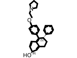 O[C@@H]1C=CC2=C(c3ccc(OCCN4CCCC4)cc3)[C@H](c3ccccc3)CCC2=C1